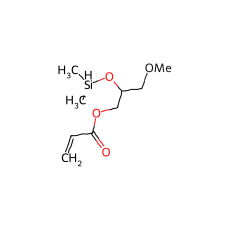 C=CC(=O)OCC(COC)O[SiH](C)C